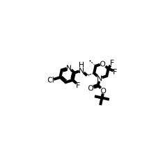 C[C@@H]1OC(F)(F)CN(C(=O)OC(C)(C)C)[C@@H]1CNc1ncc(Cl)cc1F